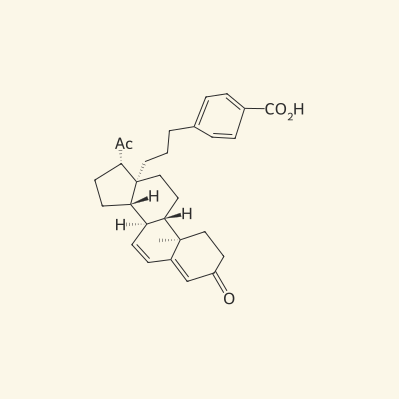 CC(=O)[C@H]1CC[C@H]2[C@@H]3C=CC4=CC(=O)CC[C@]4(C)[C@H]3CC[C@]12CCCc1ccc(C(=O)O)cc1